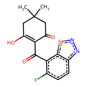 CC1(C)CC(=O)C(C(=O)c2c(F)ccc3nnsc23)=C(O)C1